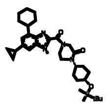 Cn1c(C(=O)N2CCN([C@H]3CC[C@H](O[Si](C)(C)C(C)(C)C)CC3)C(=O)C2)nc2c(C3CCCCC3)cc(C3CC3)cc21